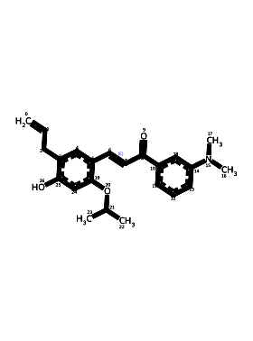 C=CCc1cc(/C=C/C(=O)c2cccc(N(C)C)c2)c(OC(C)C)cc1O